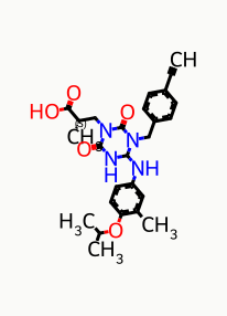 C#Cc1ccc(CN2C(=O)N(C[C@H](C)C(=O)O)C(=O)NC2Nc2ccc(OC(C)C)c(C)c2)cc1